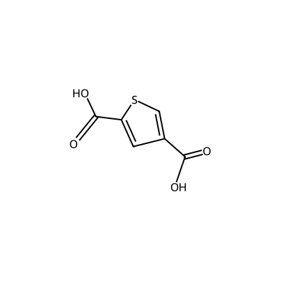 O=C(O)c1csc(C(=O)O)c1